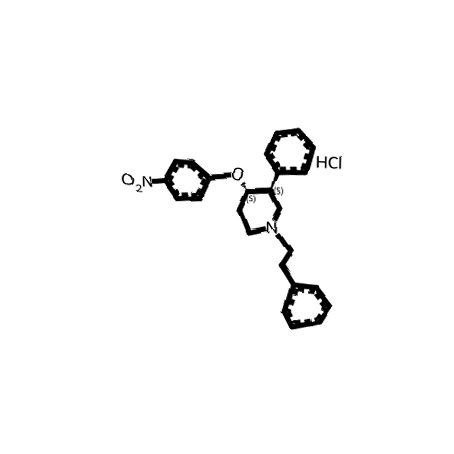 Cl.O=[N+]([O-])c1ccc(O[C@H]2CCN(CCc3ccccc3)C[C@@H]2c2ccccc2)cc1